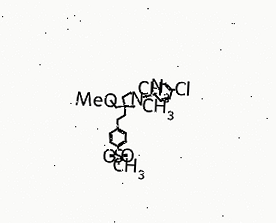 COC[C@@]1(CCc2ccc(S(C)(=O)=O)cc2)CCN(C(C)(C)c2ccc(Cl)cn2)C1